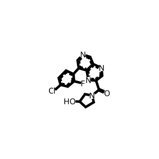 O=C(c1cnc2cncc(-c3ccc(Cl)cc3F)c2n1)N1CCC(O)C1